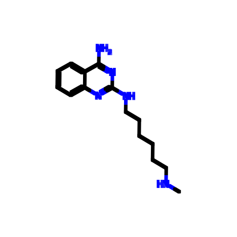 CNCCCCCCNc1nc(N)c2ccccc2n1